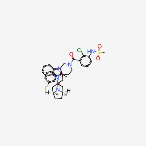 Cc1nc2ccccc2n1[C@H]1C[C@H]2CC[C@@H](C1)N2CCC1(c2cccc(F)c2)CCN(C(=O)c2cccc(NS(C)(=O)=O)c2Cl)CC1